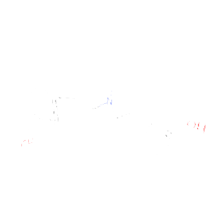 Oc1cccc(CCN(CCc2cccc(O)c2)CC2CCC2)c1